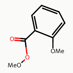 COOC(=O)c1ccccc1OC